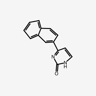 O=c1nc(-c2ccc3ccccc3c2)cc[nH]1